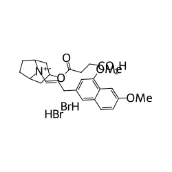 Br.Br.COc1ccc2cc(CC=C[N+]3(C)C4CCC3CC(OC(=O)CCC(=O)O)C4)cc(OC)c2c1